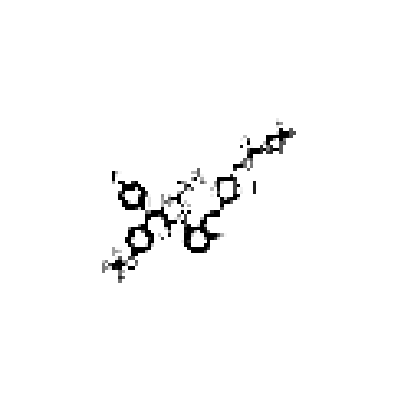 COC(=O)N[C@H](C(=O)Nc1cccc(F)c1CC[C@@H]1CN[C@H](COC(=O)NCC(F)(F)F)CO1)[C@@H](c1ccc(F)cc1)c1ccc(OC(F)(F)F)cc1